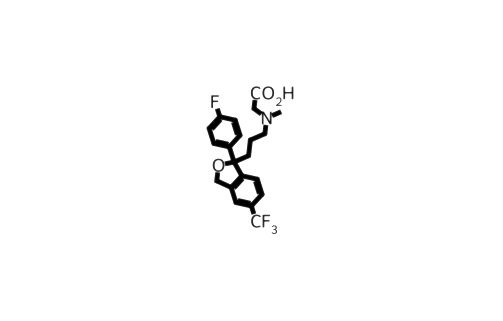 CN(CCCC1(c2ccc(F)cc2)OCc2cc(C(F)(F)F)ccc21)CC(=O)O